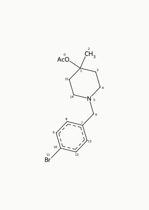 CC(=O)OC1(C)CCN(Cc2ccc(Br)cc2)CC1